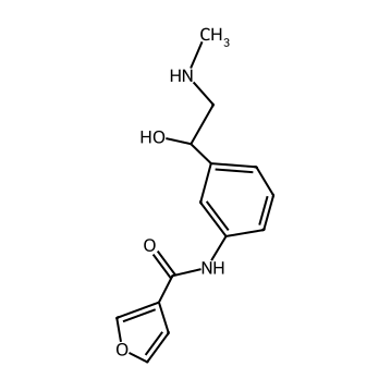 CNCC(O)c1cccc(NC(=O)c2ccoc2)c1